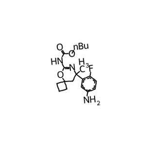 CCCCOC(=O)NC1=NC(C)(c2cc(N)ccc2F)CC2(CCC2)O1